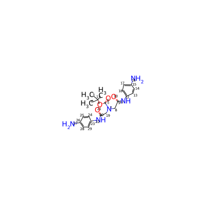 CC(C)(C)OC(=O)N(CC(=O)Nc1ccc(N)cc1)CC(=O)Nc1ccc(N)cc1